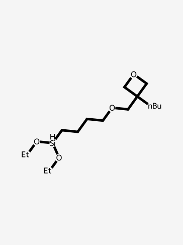 CCCCC1(COCCCC[SiH](OCC)OCC)COC1